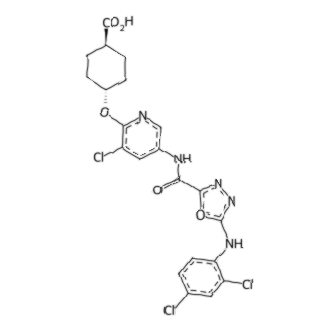 O=C(Nc1cnc(O[C@H]2CC[C@H](C(=O)O)CC2)c(Cl)c1)c1nnc(Nc2ccc(Cl)cc2Cl)o1